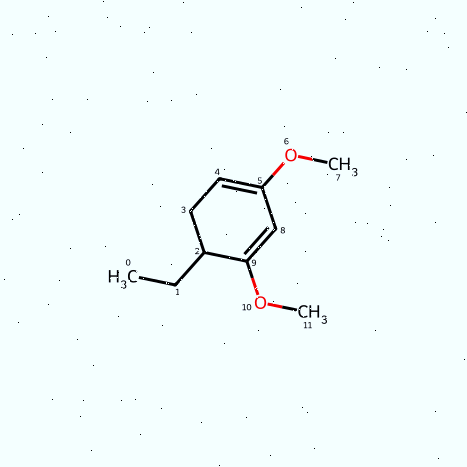 CCC1CC=C(OC)C=C1OC